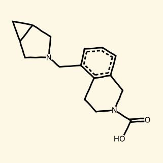 O=C(O)N1CCc2c(CN3CC4CC4C3)cccc2C1